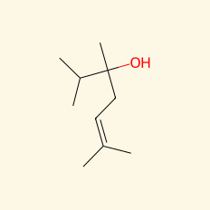 CC(C)=CCC(C)(O)C(C)C